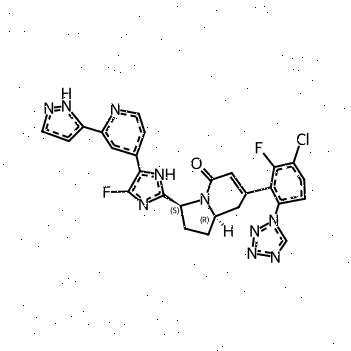 O=C1C=C(c2c(-n3cnnn3)ccc(Cl)c2F)C[C@H]2CC[C@@H](c3nc(F)c(-c4ccnc(-c5ccn[nH]5)c4)[nH]3)N12